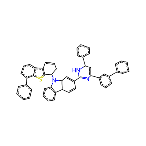 C1=Cc2c(sc3c(-c4ccccc4)cccc23)C(N2c3ccccc3C3C=CC(C4=NC(c5cccc(-c6ccccc6)c5)=CC(c5ccccc5)N4)=CC32)C1